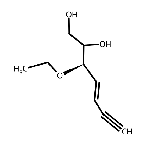 C#C/C=C/[C@@H](OCC)C(O)CO